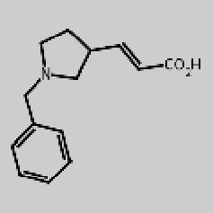 O=C(O)C=CC1CCN(Cc2ccccc2)C1